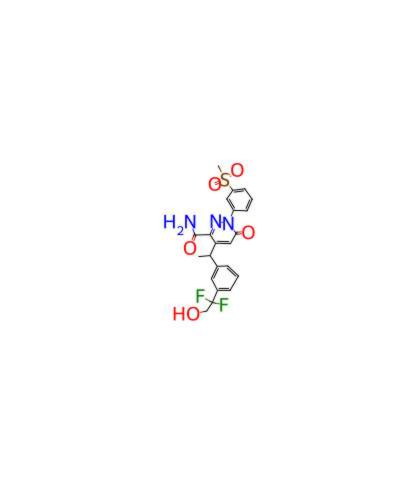 CC(c1cccc(C(F)(F)CO)c1)c1cc(=O)n(-c2cccc(S(C)(=O)=O)c2)nc1C(N)=O